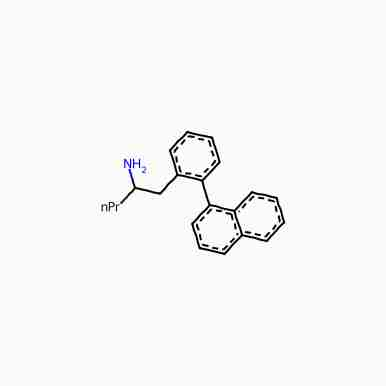 CCCC(N)Cc1ccccc1-c1cccc2ccccc12